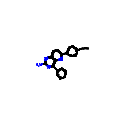 CSc1ccc(-c2ccc3nc(N)nc(-c4ccccc4)c3n2)cc1